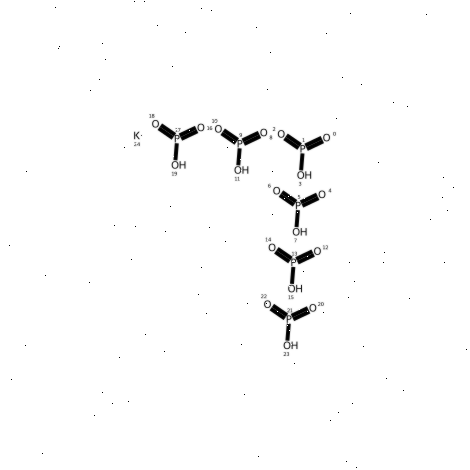 O=P(=O)O.O=P(=O)O.O=P(=O)O.O=P(=O)O.O=P(=O)O.O=P(=O)O.[K]